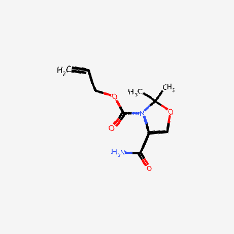 C=CCOC(=O)N1C(C(N)=O)COC1(C)C